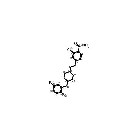 NC(=O)c1ccc(CCN2CCC(Cc3cc(F)ccc3Br)CC2)cc1Cl